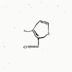 O=[C]c1sccc1I